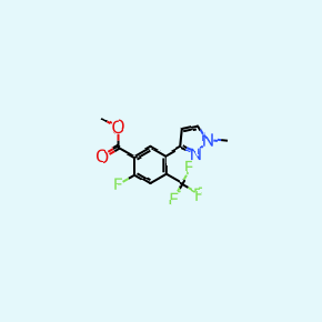 COC(=O)c1cc(-c2ccn(C)n2)c(C(F)(F)F)cc1F